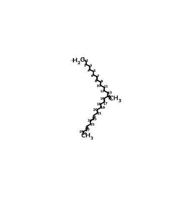 [CH2]CCCCCCCCCCCCCC(C)CCCCCCCCCCCCCC